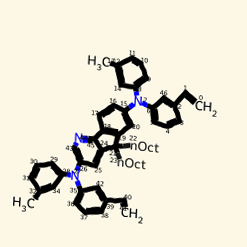 C=Cc1cccc(N(c2cccc(C)c2)c2ccc3c(c2)C(CCCCCCCC)(CCCCCCCC)c2cc(N(c4cccc(C)c4)c4cccc(C=C)c4)cnc2-3)c1